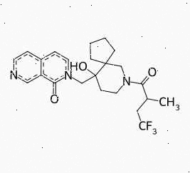 CC(CC(F)(F)F)C(=O)N1CCC(O)(Cn2ccc3ccncc3c2=O)C2(CCCC2)C1